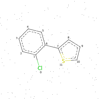 Clc1ccccc1-c1cccs1